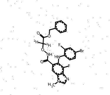 [2H]C([2H])(ONC(=O)c1cc2c(ncn2C)c(F)c1Nc1ccc(Br)cc1F)C(=O)OCc1ccccc1